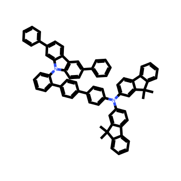 CC1(C)c2ccccc2-c2ccc(N(c3ccc(-c4ccc(-c5ccccc5-n5c6ccc(-c7ccccc7)cc6c6ccc(-c7ccccc7)cc65)cc4)cc3)c3ccc4c(c3)C(C)(C)c3ccccc3-4)cc21